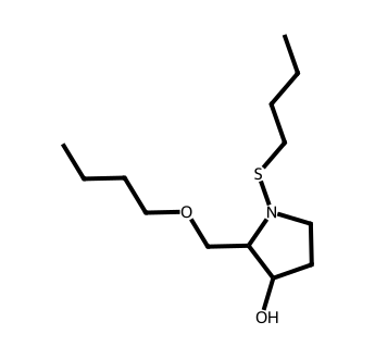 CCCCOCC1C(O)CCN1SCCCC